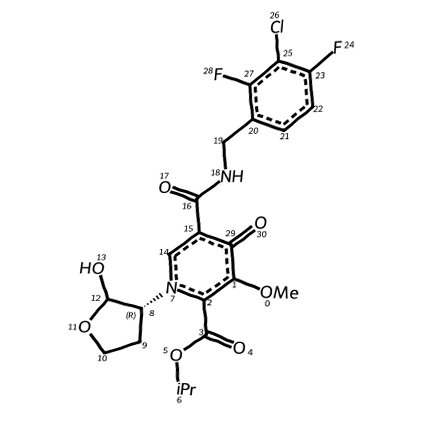 COc1c(C(=O)OC(C)C)n([C@@H]2CCOC2O)cc(C(=O)NCc2ccc(F)c(Cl)c2F)c1=O